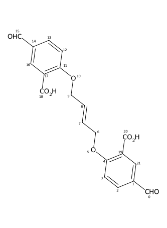 O=Cc1ccc(OCC=CCOc2ccc(C=O)cc2C(=O)O)c(C(=O)O)c1